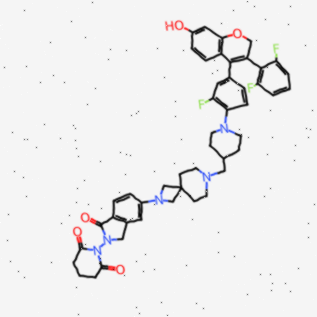 O=C1c2ccc(N3CC4(CCN(CC5CCN(c6ccc(C7=C(c8c(F)cccc8F)COc8cc(O)ccc87)cc6F)CC5)CC4)C3)cc2CN1N1C(=O)CCCC1=O